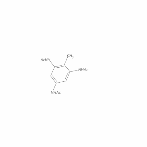 CC(=O)Nc1cc(NC(C)=O)c(C)c(NC(C)=O)c1